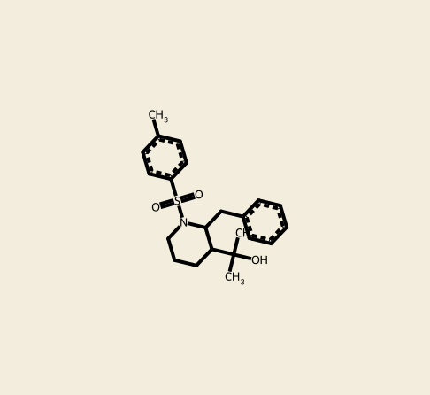 Cc1ccc(S(=O)(=O)N2CCCC(C(C)(C)O)C2Cc2ccccc2)cc1